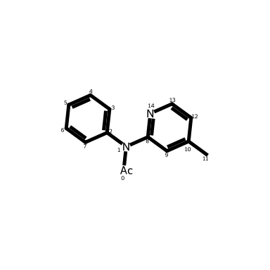 CC(=O)N(c1ccccc1)c1cc(C)ccn1